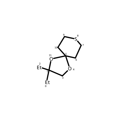 CCC1(CC)COC2(CCSCC2)O1